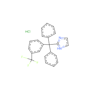 Cl.FC(F)(F)c1cccc(C(c2ccccc2)(c2ccccc2)c2ncc[nH]2)c1